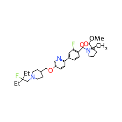 CCC(F)(CC)CN1CCC(COc2ccc(-c3ccc(C(=O)N4CCC[C@@]4(C)C(=O)OC)c(F)c3)nc2)CC1